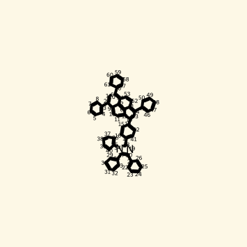 C/C=C(/c1ccccc1)c1ccc2c(-c3ccc(-c4nc(-c5ccccc5)c(-c5ccccc5)n4-c4ccccc4)cc3)cc(-c3ccccc3)c3cc/c(=C\c4ccccc4)c1c23